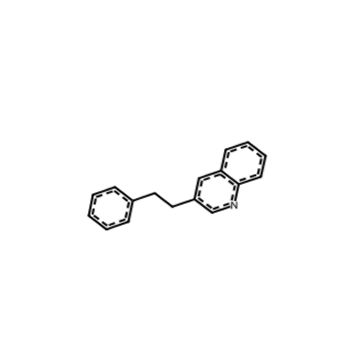 c1ccc(CCc2cnc3ccccc3c2)cc1